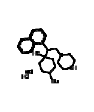 CC(C)(C)C1CCC(O)(C(CN2CCNCC2)c2cccc3ccccc23)CC1.Cl.Cl